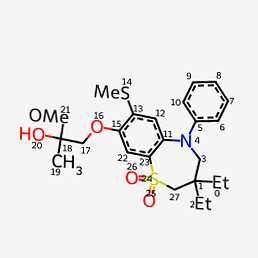 CCC1(CC)CN(c2ccccc2)c2cc(SC)c(OCC(C)(O)OC)cc2S(=O)(=O)C1